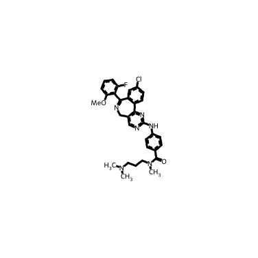 COc1cccc(F)c1C1=NCc2cnc(Nc3ccc(C(=O)N(C)CCCN(C)C)cc3)nc2-c2ccc(Cl)cc21